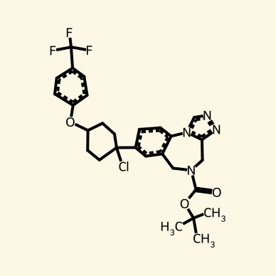 CC(C)(C)OC(=O)N1Cc2cc(C3(Cl)CCC(Oc4ccc(C(F)(F)F)cc4)CC3)ccc2-n2cnnc2C1